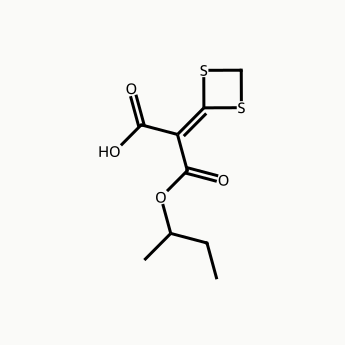 CCC(C)OC(=O)C(C(=O)O)=C1SCS1